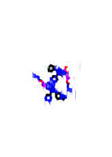 CN(C)C/C=C/C(=O)N1CCn2nc(-c3ccc4cc[nH]c4c3)c(-c3ccncc3)c2C1.CN(C)CC=CC(=O)N1Cc2c(-c3ccncc3)c(-c3ccc(F)cc3)nn2C(CO)C1